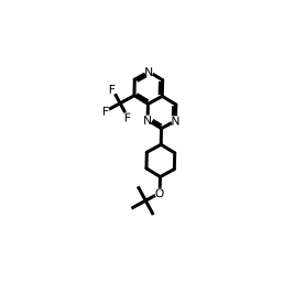 CC(C)(C)OC1CCC(c2ncc3cncc(C(F)(F)F)c3n2)CC1